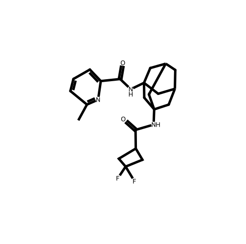 Cc1cccc(C(=O)NC23CC4CC(C2)CC(NC(=O)C2CC(F)(F)C2)(C4)C3)n1